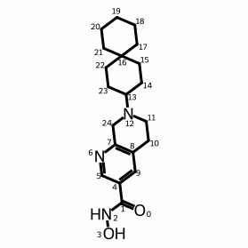 O=C(NO)c1cnc2c(c1)CCN(C1CCC3(CCCCC3)CC1)C2